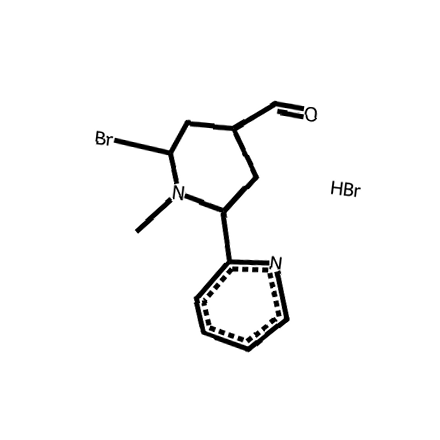 Br.CN1C(Br)CC(C=O)CC1c1ccccn1